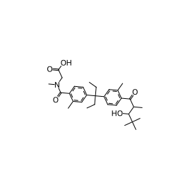 CCC(CC)(c1ccc(C(=O)C(C)C(O)C(C)(C)C)c(C)c1)c1ccc(C(=O)N(C)CC(=O)O)c(C)c1